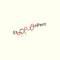 CCCCCC1CCC(COc2ccc(OCC)c(F)c2F)=CO1